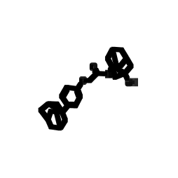 O=C(COc1ccc(C23CC4CC(CC(C4)C2)C3)cc1)NC12CC3CC(CC(O)(C3)C1)C2